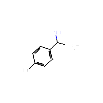 CCc1ccc(C(N)C(=O)O)cc1